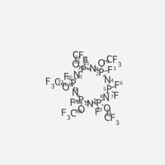 FC(F)(F)OP1(F)=NP(F)(F)=NP(F)(OC(F)(F)F)=NP(F)(OC(F)(F)F)=NP(F)(OC(F)(F)F)=NP(F)(OC(F)(F)F)=N1